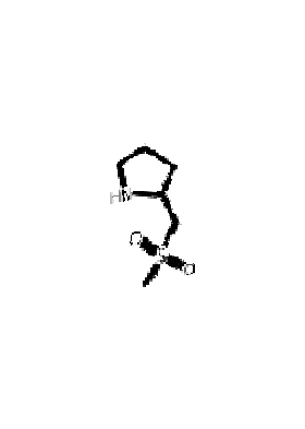 CS(=O)(=O)[CH]C1CCCN1